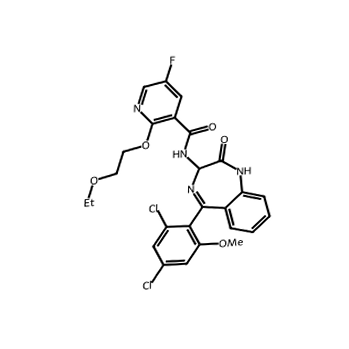 CCOCCOc1ncc(F)cc1C(=O)NC1N=C(c2c(Cl)cc(Cl)cc2OC)c2ccccc2NC1=O